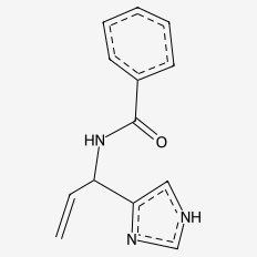 C=CC(NC(=O)c1ccccc1)c1c[nH]cn1